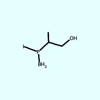 BP(I)C(C)CO